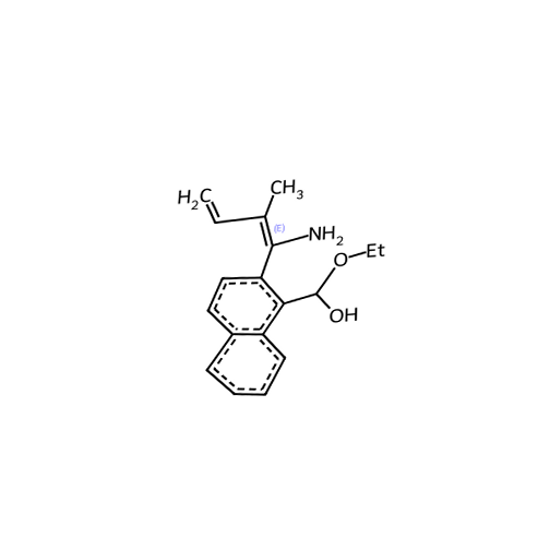 C=C/C(C)=C(/N)c1ccc2ccccc2c1C(O)OCC